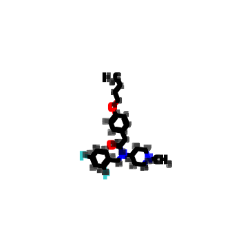 CCCCOc1ccc(CC(=O)N(Cc2ccc(F)cc2F)C2CCN(C)CC2)cc1